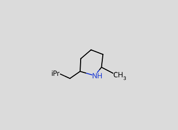 CC(C)CC1CCCC(C)N1